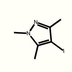 Cc1nn(C)c(C)c1I